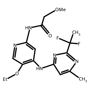 CCOc1cnc(NC(=O)COC)cc1Nc1cc(C)nc(C(C)(F)F)n1